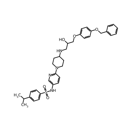 CC(C)c1ccc(S(=O)(=O)Nc2ccc(N3CCC(NCC(O)COc4ccc(OCc5ccccc5)cc4)CC3)nc2)cc1